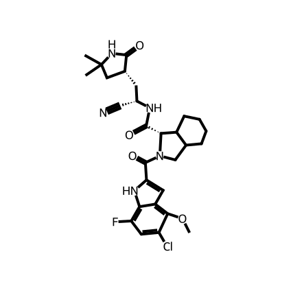 COc1c(Cl)cc(F)c2[nH]c(C(=O)N3CC4CCCCC4[C@H]3C(=O)N[C@H](C#N)C[C@@H]3CC(C)(C)NC3=O)cc12